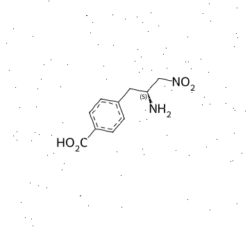 N[C@@H](Cc1ccc(C(=O)O)cc1)C[N+](=O)[O-]